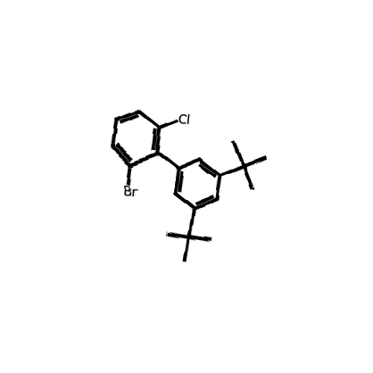 CC(C)(C)c1cc(-c2c(Cl)cccc2Br)cc(C(C)(C)C)c1